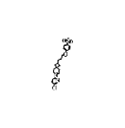 CS(=O)(=O)c1ccc(OCCCC2CC3(CCN(c4ccc(Cl)cn4)CC3)C2)cc1